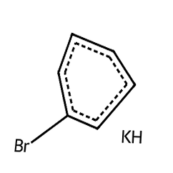 Brc1ccccc1.[KH]